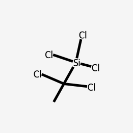 CC(Cl)(Cl)[Si](Cl)(Cl)Cl